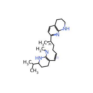 C=NC1=C(/C=C\CC[C@@H](C)c2ccc3c(n2)NCCC3)CCC(C(C)C)N1